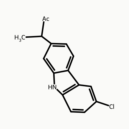 CC(=O)C(C)c1ccc2c(c1)[nH]c1ccc(Cl)cc12